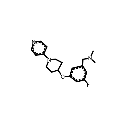 CN(C)Cc1cc(F)cc(OC2CCN(c3ccncc3)CC2)c1